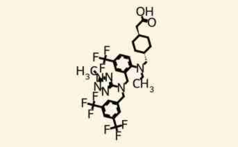 CCN(C[C@H]1CC[C@H](CC(=O)O)CC1)c1ccc(C(F)(F)F)cc1CN(Cc1cc(C(F)(F)F)cc(C(F)(F)F)c1)c1nnn(C)n1